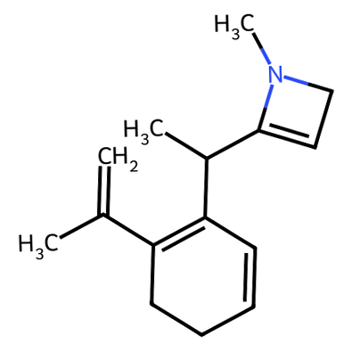 C=C(C)C1=C(C(C)C2=CCN2C)C=CCC1